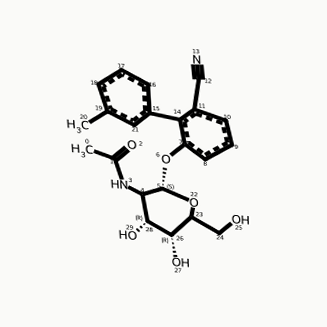 CC(=O)NC1[C@H](Oc2cccc(C#N)c2-c2cccc(C)c2)OC(CO)[C@H](O)[C@@H]1O